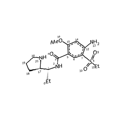 CC[C@@H](NC(=O)c1cc(S(=O)(=O)CC)c(N)cc1OC)[C@H]1CCCN1